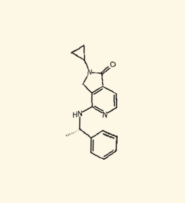 C[C@H](Nc1nccc2c1CN(C1CC1)C2=O)c1ccccc1